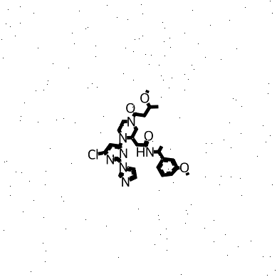 COc1cccc(C(C)NC(=O)CC2CN(C(=O)CC(C)OC)CCN2c2cc(Cl)nc(-n3ccnc3)n2)c1